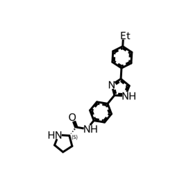 CCc1ccc(-c2c[nH]c(-c3ccc(NC(=O)[C@@H]4CCCN4)cc3)n2)cc1